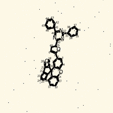 C1=C(c2ccc3c(c2)C2(c4ccccc4O3)c3ccccc3-c3ccccc32)OC(c2nc(-c3ccccc3)nc(-c3ccccc3)n2)C1